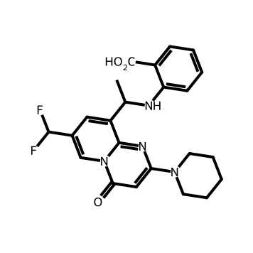 CC(Nc1ccccc1C(=O)O)c1cc(C(F)F)cn2c(=O)cc(N3CCCCC3)nc12